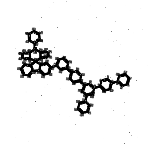 c1ccc(-c2ccc(-c3cc(-c4ccc(-c5cccc(-c6ccc7c(c6)C6(c8ccccc8-7)c7ccccc7N(c7ccccc7)c7ccccc76)c5)cc4)nc(-c4ccccc4)n3)cc2)cc1